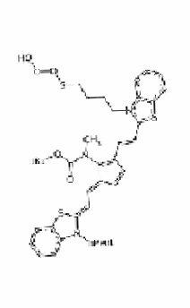 CCCCCN1/C(=C/C=C2\C=CC(/C=C/c3sc4ccccc4[n+]3CCCCSOOO)=C2N(C)C(=O)OC(C)(C)C)Sc2ccccc21